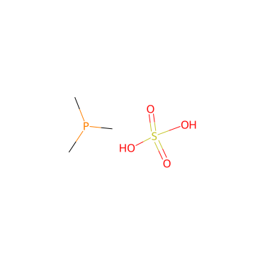 CP(C)C.O=S(=O)(O)O